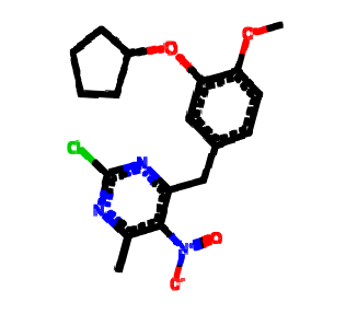 COc1ccc(Cc2nc(Cl)nc(C)c2[N+](=O)[O-])cc1OC1CCCC1